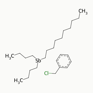 CCCCCCCCC[CH2][Sb]([CH2]CCC)[CH2]CCC.ClCc1ccccc1